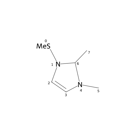 CSN1C=CN(C)C1C